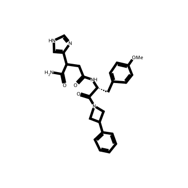 COc1ccc(C[C@@H](NC(=O)CC(C(N)=O)c2c[nH]cn2)C(=O)N2CC(c3ccccc3)C2)cc1